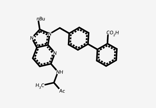 CCCCc1nc2ccc(NC(C)C(C)=O)nc2n1Cc1ccc(-c2ccccc2C(=O)O)cc1